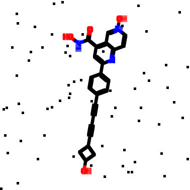 O=C(NO)c1cc(-c2ccc(C#CC#CC3CC(O)C3)cc2)nc2cc[n+](O)cc12